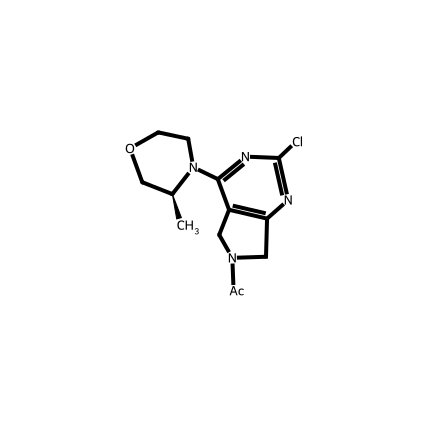 CC(=O)N1Cc2nc(Cl)nc(N3CCOC[C@@H]3C)c2C1